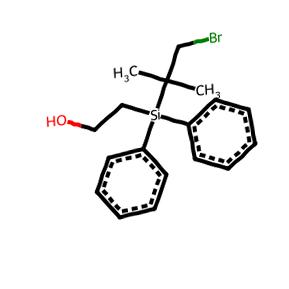 CC(C)(CBr)[Si](CCO)(c1ccccc1)c1ccccc1